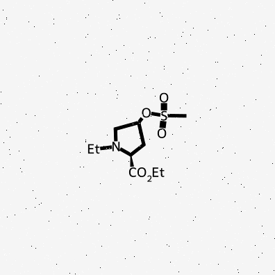 CCOC(=O)[C@@H]1CC(OS(C)(=O)=O)CN1CC